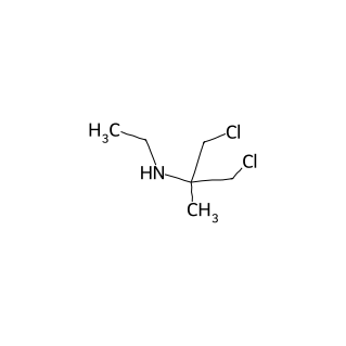 CCNC(C)(CCl)CCl